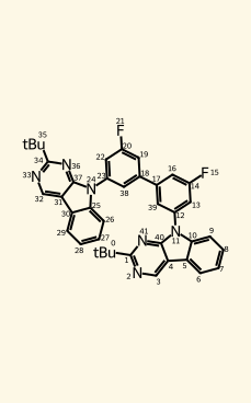 CC(C)(C)c1ncc2c3ccccc3n(-c3cc(F)cc(-c4cc(F)cc(-n5c6ccccc6c6cnc(C(C)(C)C)nc65)c4)c3)c2n1